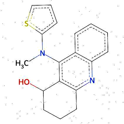 CN(c1cccs1)c1c2c(nc3ccccc13)CCCC2O